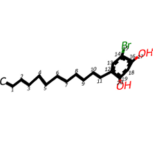 CCCCCCCCCCCCc1cc(Br)c(O)cc1O